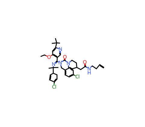 C=CCCNC(=O)CC1CCN(C(=O)N(Cc2ccc(Cl)cc2)/C(=N\C(C)(C)C2C=CC(Cl)=CC2)c2cnc(C(C)(C)C)cc2OCC)CC1